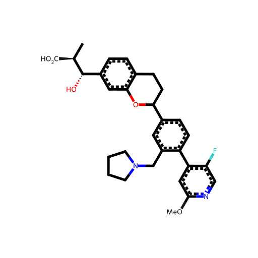 COc1cc(-c2ccc(C3CCc4ccc([C@H](O)[C@H](C)C(=O)O)cc4O3)cc2CN2CCCC2)c(F)cn1